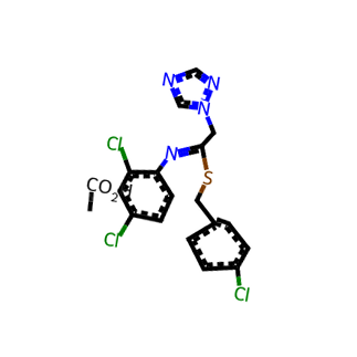 CC(=O)O.Clc1ccc(CSC(Cn2cncn2)=Nc2ccc(Cl)cc2Cl)cc1